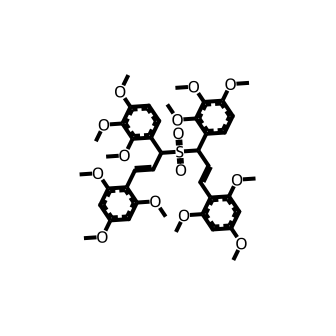 COc1cc(OC)c(C=CC(c2ccc(OC)c(OC)c2OC)S(=O)(=O)C(C=Cc2c(OC)cc(OC)cc2OC)c2ccc(OC)c(OC)c2OC)c(OC)c1